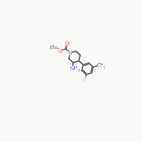 CC(C)(C)OC(=O)N1CCC(c2cc(F)cc(C(F)(F)F)c2)C(N)C1